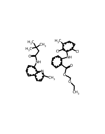 CCOCOC(=O)c1ccccc1Nc1c(Cl)ccc(C)c1Cl.Cc1ccc2cccc(NC(=O)CC(C)(C)C)c2n1